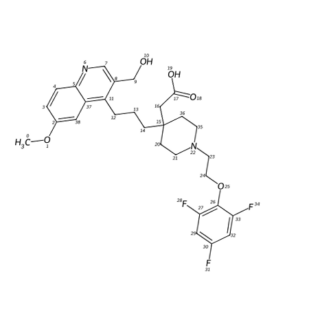 COc1ccc2ncc(CO)c(CCCC3(CC(=O)O)CCN(CCOc4c(F)cc(F)cc4F)CC3)c2c1